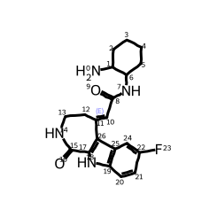 NC1CCCCC1NC(=O)/C=C1\CCNC(=O)c2[nH]c3ccc(F)cc3c21